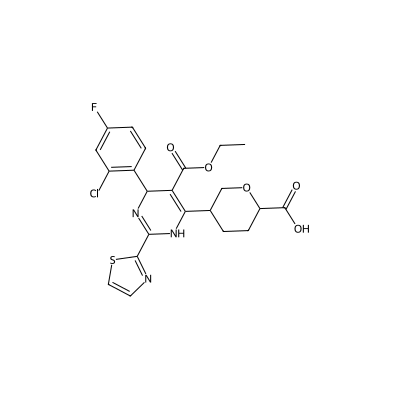 CCOC(=O)C1=C(C2CCC(C(=O)O)OC2)NC(c2nccs2)=NC1c1ccc(F)cc1Cl